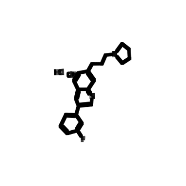 Cl.Cl.Fc1cccc(-c2cnc3cc(CCCN4CCCC4)ccc3c2)c1